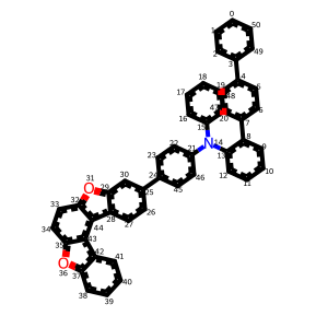 c1ccc(-c2ccc(-c3ccccc3N(c3ccccc3)c3ccc(-c4ccc5c(c4)oc4ccc6oc7ccccc7c6c45)cc3)cc2)cc1